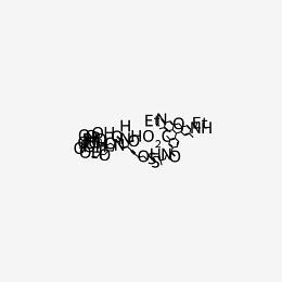 C=CCOC1C[C@H](n2cc(C#CCOCSSC(C)(C)CNC(=O)c3ccc(C4c5cc(C)c(NCC)cc5OC5=C/C(=N/CC)C(C)=CC54)c(C(=O)O)c3)c(=O)[nH]c2=O)O[C@@H]1COP(=O)(O)OP(=O)(O)OP(=O)(O)O